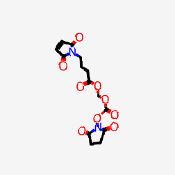 O=C(CCCN1C(=O)C=CC1=O)OCOC(=O)ON1C(=O)CCC1=O